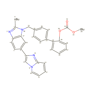 CCCCc1nc2ccc(-c3cn4ccccc4n3)cc2n1Cc1ccc(-c2ccccc2OC(=O)OC(C)(C)C)cc1